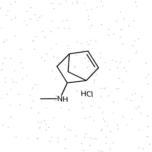 CNC1CC2C=CC1C2.Cl